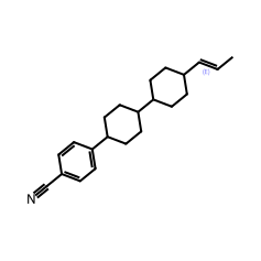 C/C=C/C1CCC(C2CCC(c3ccc(C#N)cc3)CC2)CC1